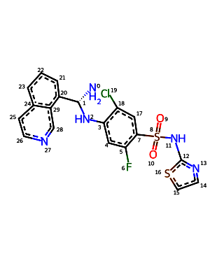 N[C@H](Nc1cc(F)c(S(=O)(=O)Nc2nccs2)cc1Cl)c1cccc2ccncc12